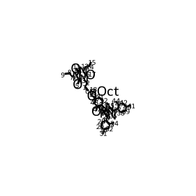 C=CCn1c(=O)n(CC=C)c(=O)n(CC=C)c1=O.CCCCCCCCOc1ccc(-c2nc(-c3ccc(C)cc3C)nc(-c3ccc(C)cc3C)n2)c(O)c1